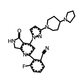 N#Cc1cccc(F)c1-c1cc(-n2ccc(N3CCC(N4CCCC4)CC3)n2)c2c(n1)CNC2=O